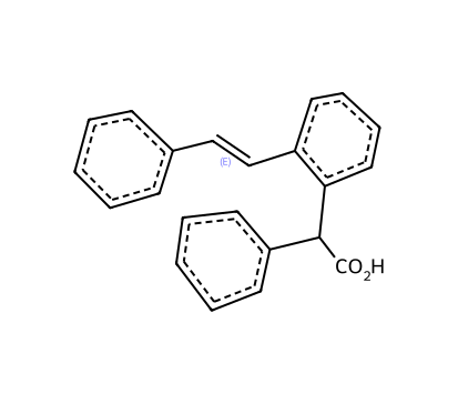 O=C(O)C(c1ccccc1)c1ccccc1/C=C/c1ccccc1